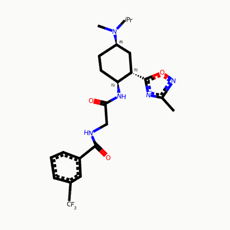 Cc1noc([C@H]2C[C@H](N(C)C(C)C)CC[C@@H]2NC(=O)CNC(=O)c2cccc(C(F)(F)F)c2)n1